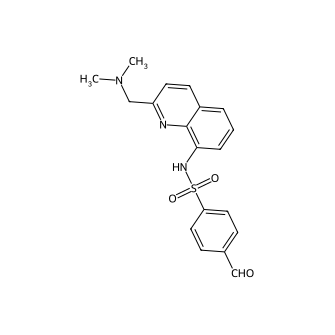 CN(C)Cc1ccc2cccc(NS(=O)(=O)c3ccc(C=O)cc3)c2n1